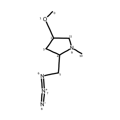 COC1CC(CN=[N+]=[N-])N(C)C1